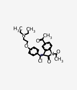 CCN(CC)CCOc1ccc(/C(Cl)=C2/C(=O)N(C(C)=O)c3ccc(C(C)=O)cc32)cc1